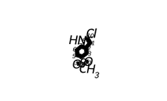 CS(=O)(=O)c1ccc2[nH]c(Cl)cc2c1